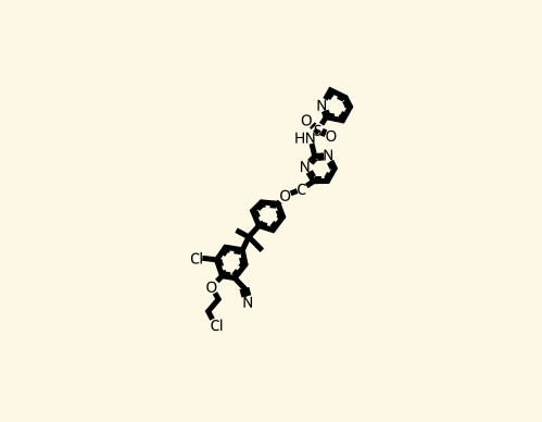 CC(C)(c1ccc(OCc2ccnc(NS(=O)(=O)c3ccccn3)n2)cc1)c1cc(Cl)c(OCCCl)c(C#N)c1